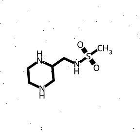 CS(=O)(=O)NCC1CNCCN1